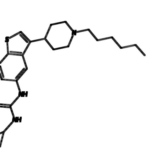 CCCCCCN1CCC(c2csc3ccc(NC(=O)NC4CC4)cc23)CC1